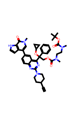 C#CC1CCN(c2nc(C(COC(=O)N(C)CCN(C)C(=O)OC(C)(C)C)(OC3CC3)c3ccccc3)c3cc(-c4cn(C)c(=O)c5[nH]ccc45)ccc3n2)CC1